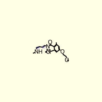 C=NN(/C=C/C=C\NC)C(=O)c1c(C)cc(OCCOC)cc1Cl